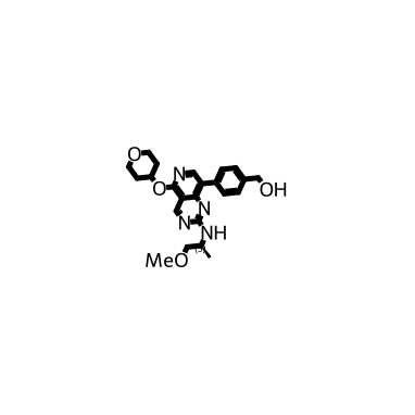 COC[C@H](C)Nc1ncc2c(OC3CCOCC3)ncc(-c3ccc(CO)cc3)c2n1